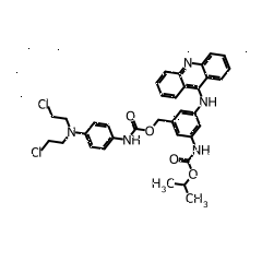 CC(C)OC(=O)Nc1cc(COC(=O)Nc2ccc(N(CCCl)CCCl)cc2)cc(Nc2c3ccccc3nc3ccccc23)c1